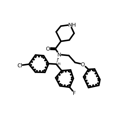 O=C(C1CCNCC1)N(CCOc1ccccc1)[C@H](c1ccc(F)cc1)c1ccc(Cl)cc1